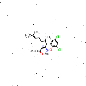 COC(=O)/C=C(/CC(C)CCC=C(C)C)N(Oc1ccc(Cl)cc1Cl)C(C)=O